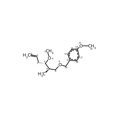 C=CC[C@H](OC)[C@H](C)COCc1ccc(OC)cc1